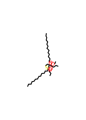 CCCCCCCCCCCCCCOC(CCC)(OCC)C(CC)(OCCCCCCCCCCCCCC)C(=S)OCCC